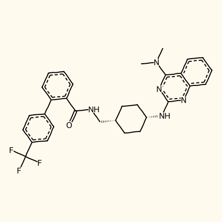 CN(C)c1nc(N[C@H]2CC[C@@H](CNC(=O)c3ccccc3-c3ccc(C(F)(F)F)cc3)CC2)nc2ccccc12